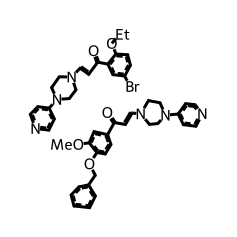 CCOc1ccc(Br)cc1C(=O)C=CN1CCN(c2ccncc2)CC1.COc1cc(C(=O)C=CN2CCN(c3ccncc3)CC2)ccc1OCc1ccccc1